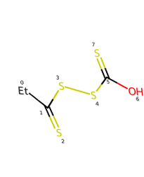 CCC(=S)SSC(O)=S